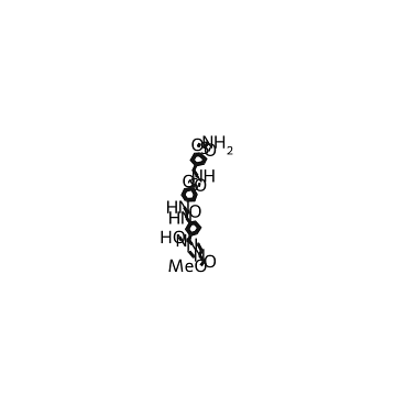 COC(=O)N1CCN(C(=NO)c2cccc(NC(=O)Nc3ccc(S(=O)(=O)NCc4ccc(S(N)(=O)=O)cc4)cc3)c2)CC1